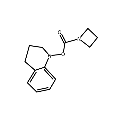 O=C(ON1CCCc2ccccc21)N1CCC1